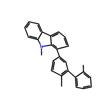 Cc1ccccc1-c1cc(-c2cccc3c4ccccc4n(C)c23)ccc1C